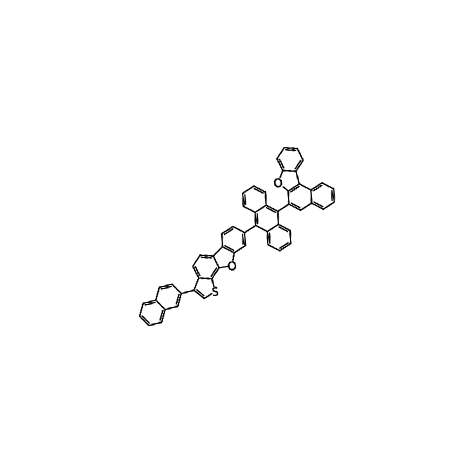 c1ccc2cc(-c3csc4c3ccc3c5ccc(-c6c7ccccc7c(-c7cc8ccccc8c8c7oc7ccccc78)c7ccccc67)cc5oc34)ccc2c1